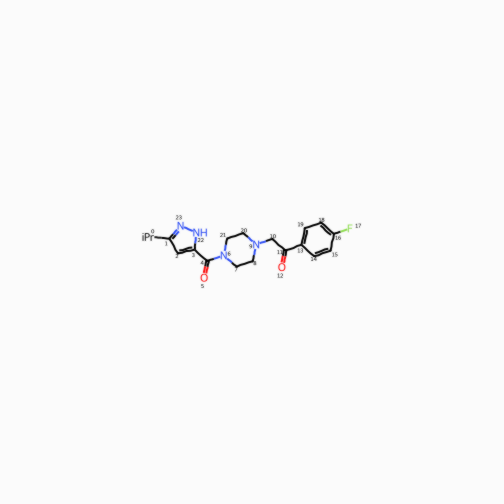 CC(C)c1cc(C(=O)N2CCN(CC(=O)c3ccc(F)cc3)CC2)[nH]n1